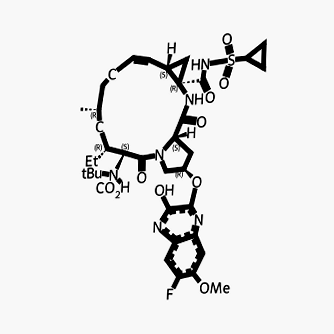 CC[C@@H]1C[C@H](C)CCC=C[C@@H]2C[C@@]2(C(=O)NS(=O)(=O)C2CC2)NC(=O)[C@@H]2C[C@@H](Oc3nc4cc(OC)c(F)cc4nc3O)CN2C(=O)[C@H]1N(C(=O)O)C(C)(C)C